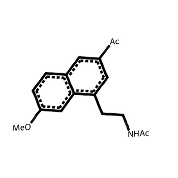 COc1ccc2cc(C(C)=O)cc(CCNC(C)=O)c2c1